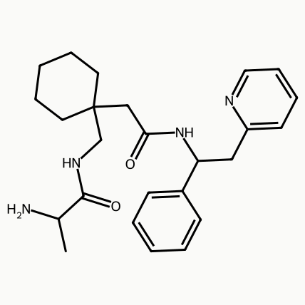 CC(N)C(=O)NCC1(CC(=O)NC(Cc2ccccn2)c2ccccc2)CCCCC1